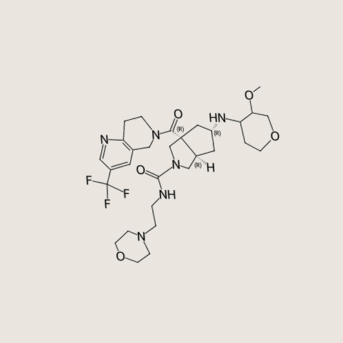 COC1COCCC1N[C@@H]1C[C@H]2CN(C(=O)NCCN3CCOCC3)C[C@@]2(C(=O)N2CCc3ncc(C(F)(F)F)cc3C2)C1